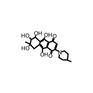 CC1CCN(C2=CC(=O)c3c(O)c4c(c(O)c3C2=O)CC(C)(O)C(O)C4O)CC1